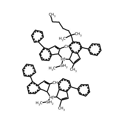 CCCCCC(C)(C)c1cc(-c2ccccc2)c2c(c1)[CH]([Hf]([SiH2]C)[CH]1C(C)=Cc3c(-c4ccccc4)cccc31)C(C)=C2.C[SiH2][Hf]([CH]1C(C)=Cc2c(-c3ccccc3)cccc21)[CH]1C(C)=Cc2c(-c3ccccc3)cccc21